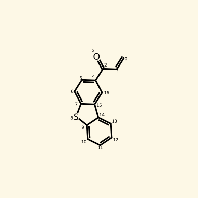 C=CC(=O)c1ccc2sc3ccccc3c2c1